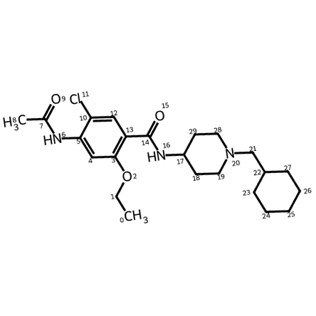 CCOc1cc(NC(C)=O)c(Cl)cc1C(=O)NC1CCN(CC2CCCCC2)CC1